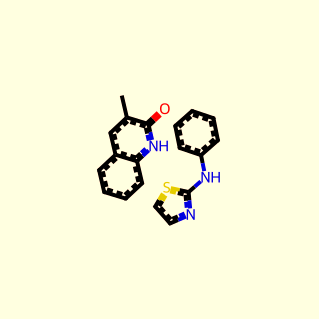 Cc1cc2ccccc2[nH]c1=O.c1ccc(Nc2nccs2)cc1